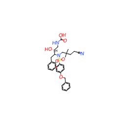 CC(C)(CCC#N)CN(C(Cc1ccccc1)[C@H](O)CNC(=O)O)S(=O)(=O)c1ccc(OCc2ccccc2)cc1